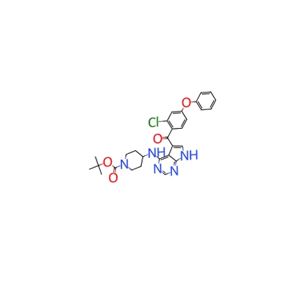 CC(C)(C)OC(=O)N1CCC(Nc2ncnc3[nH]cc(C(=O)c4ccc(Oc5ccccc5)cc4Cl)c23)CC1